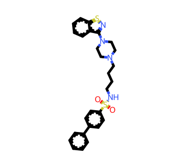 O=S(=O)(NCCCCN1CCN(c2nsc3ccccc23)CC1)c1ccc(-c2ccccc2)cc1